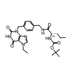 CCC[C@H](NC(=O)OC(C)(C)C)C(=O)NCc1ccc(Cn2c(=O)[nH]c(=O)c3c2ncn3CC)cc1